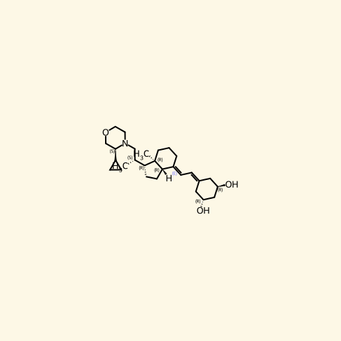 C[C@H](CN1CCOC[C@@H]1C1CC1)[C@H]1CC[C@H]2/C(=C/C=C3C[C@@H](O)C[C@H](O)C3)CCC[C@]12C